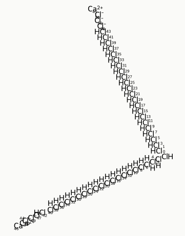 Cl.Cl.Cl.Cl.Cl.Cl.Cl.Cl.Cl.Cl.Cl.Cl.Cl.Cl.Cl.Cl.Cl.Cl.Cl.Cl.Cl.Cl.Cl.Cl.Cl.Cl.Cl.Cl.Cl.Cl.Cl.Cl.Cl.Cl.Cl.Cl.Cl.Cl.Cl.Cl.Cl.Cl.Cl.Cl.[Ca+2].[Ca+2].[Ca+2].[Cl-].[Cl-].[Cl-].[Cl-].[Cl-].[Cl-]